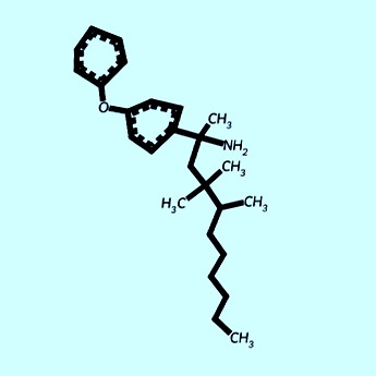 CCCCCCC(C)C(C)(C)CC(C)(N)c1ccc(Oc2ccccc2)cc1